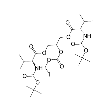 CC(C)[C@H](NC(=O)OC(C)(C)C)C(=O)OCC(COC(=O)[C@@H](NC(=O)OC(C)(C)C)C(C)C)OC(=O)OCI